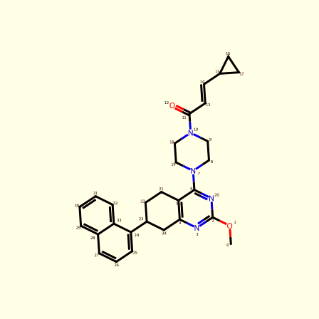 COc1nc2c(c(N3CCN(C(=O)/C=C/C4CC4)CC3)n1)CCC(c1cccc3ccccc13)C2